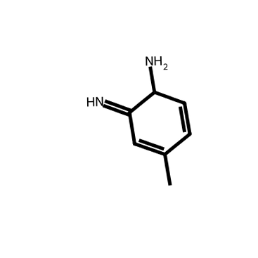 CC1=CC(=N)C(N)C=C1